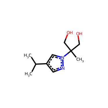 CC(C)c1cnn(C(C)(CO)CO)c1